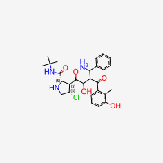 Cc1c(O)cccc1C(=O)C(C(O)C(=O)[C@H]1[C@H](Cl)CN[C@@H]1C(=O)NC(C)(C)C)C(N)c1ccccc1